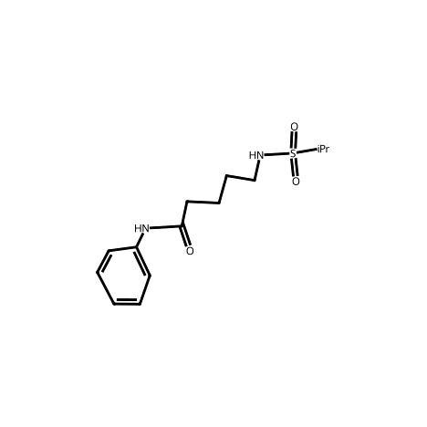 CC(C)S(=O)(=O)NCCCCC(=O)Nc1ccccc1